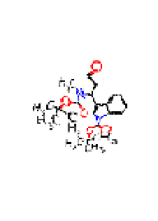 CN(C(=O)OC(C)(C)C)C(CC=O)c1cn(C(=O)OC(C)(C)C)c2ccccc12